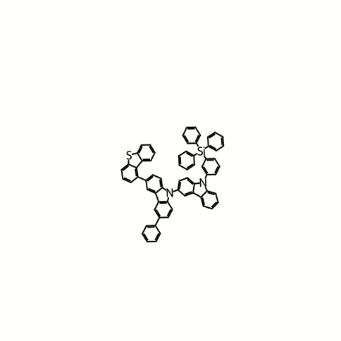 c1ccc(-c2ccc3c(c2)c2cc(-c4cccc5sc6ccccc6c45)ccc2n3-c2ccc3c(c2)c2ccccc2n3-c2cccc([Si](c3ccccc3)(c3ccccc3)c3ccccc3)c2)cc1